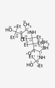 BBC(NC(O)(CC)CC)C(=O)C(CC)(CC)C(CC)(CC)NC(C)C(=O)C(O)(CC)CC